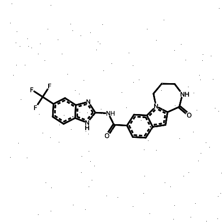 O=C(Nc1nc2cc(C(F)(F)F)ccc2[nH]1)c1ccc2cc3n(c2c1)CCCNC3=O